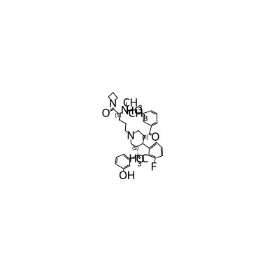 Cc1c(F)cccc1C1[C@@H](C(=O)c2cccc(O)c2)CN(CCC[C@@H](C(=O)N2CCC2)N(C)C)C[C@H]1C(=O)c1cccc(O)c1